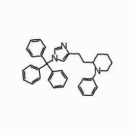 c1ccc(N2CCCCC2CCc2cn(C(c3ccccc3)(c3ccccc3)c3ccccc3)cn2)cc1